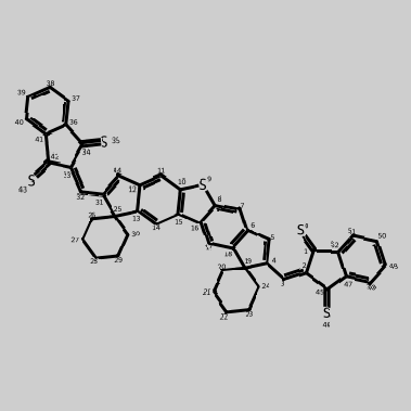 S=C1C(=CC2=Cc3cc4sc5cc6c(cc5c4cc3C23CCCCC3)C2(CCCCC2)C(C=C2C(=S)c3ccccc3C2=S)=C6)C(=S)c2ccccc21